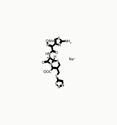 CON=C(C(=O)N[C@@H]1C(=O)N2C(C(=O)[O-])=C(CSc3cnns3)CS[C@@H]12)c1csc(N)n1.[Na+]